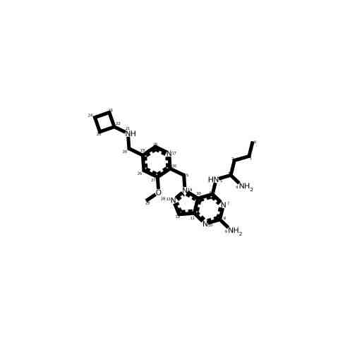 CCCC(N)Nc1nc(N)nc2cnn(Cc3ncc(CNC4CCC4)cc3OC)c12